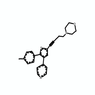 Cc1ccc(-c2sc(C#CCCN3CCOCC3)cc2-c2ccncc2)cc1